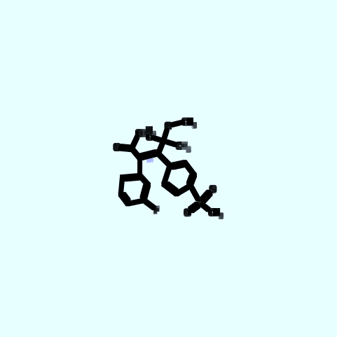 COC(C)(C)/C(=C(\C(=O)O)c1cccc(F)c1)c1ccc(S(C)(=O)=O)cc1